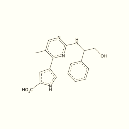 Cc1cnc(NC(CO)c2ccccc2)nc1-c1c[nH]c(C(=O)O)c1